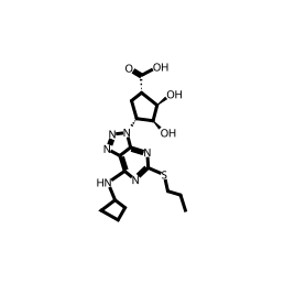 CCCSc1nc(NC2CCC2)c2nnn([C@@H]3C[C@H](C(=O)O)[C@@H](O)[C@H]3O)c2n1